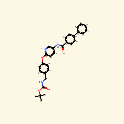 CC(C)(C)OC(=O)NCc1ccc(Oc2ccc(NC(=O)c3ccc(-c4ccccc4)cc3)cn2)cc1